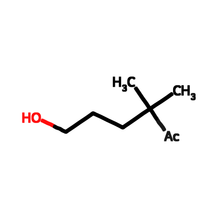 CC(=O)C(C)(C)CCCO